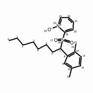 CCCCCCCC(c1cc(C)ccc1C)S(=O)(=O)c1cccc[n+]1[O-]